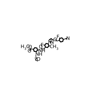 COC(=O)c1ccc(NC(=O)Cc2cc(C)c(-n3ccc(OCc4ccc(C#N)cc4F)n3)cc2F)c(NC[C@@H]2CCO2)c1